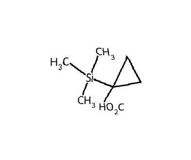 C[Si](C)(C)C1(C(=O)O)CC1